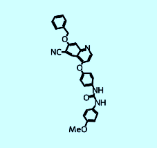 COc1ccc(NC(=O)Nc2ccc(Oc3ccnc4cc(OCc5ccccc5)c(C#N)cc34)cc2)cc1